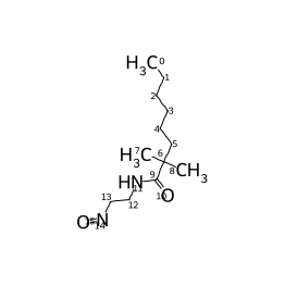 CCCCCCC(C)(C)C(=O)NCCN=O